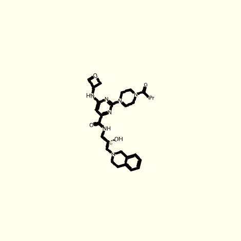 CC(C)C(=O)N1CCN(c2nc(NC3COC3)cc(C(=O)NC[C@H](O)CN3CCc4ccccc4C3)n2)CC1